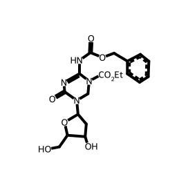 CCOC(=O)N1CN(C2CC(O)C(CO)O2)C(=O)N=C1NC(=O)OCc1ccccc1